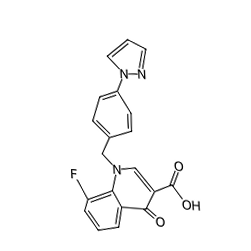 O=C(O)c1cn(Cc2ccc(-n3cccn3)cc2)c2c(F)cccc2c1=O